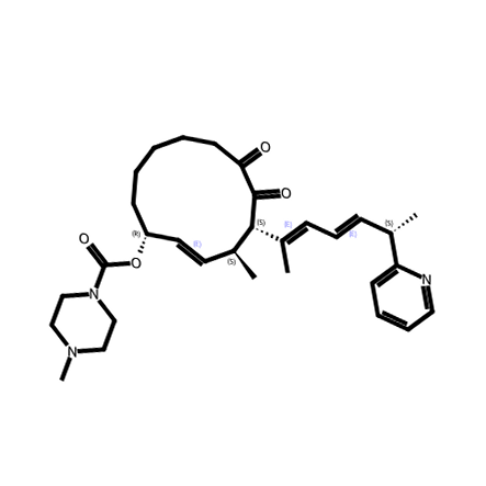 C/C(=C\C=C\[C@H](C)c1ccccn1)[C@H]1C(=O)C(=O)CCCCC[C@@H](OC(=O)N2CCN(C)CC2)/C=C/[C@@H]1C